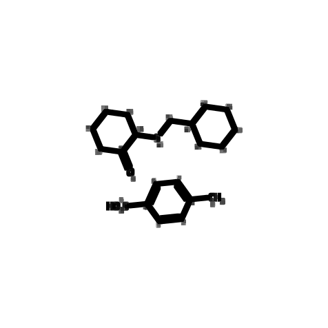 Cc1ccc(S(=O)(=O)O)cc1.O=C1CCCCC1SCC1CCCCC1